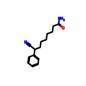 N#CC(CCCCCCC(N)=O)c1ccccc1